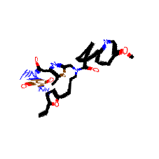 CCc1ccc(CCCN(Cc2nc(C(=O)NS(N)(=O)=O)c(C)s2)C(=O)C2(c3ccc(OC)cn3)CC2)o1